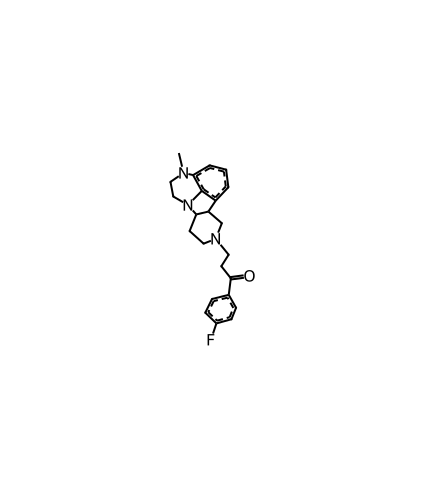 CN1CCN2c3c(cccc31)C1CN(CCC(=O)c3ccc(F)cc3)CCC12